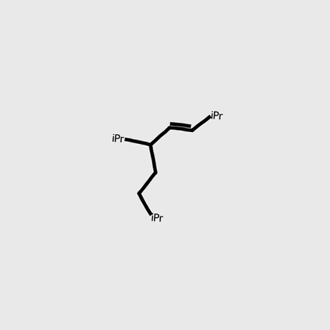 CC(C)C=CC(CCC(C)C)C(C)C